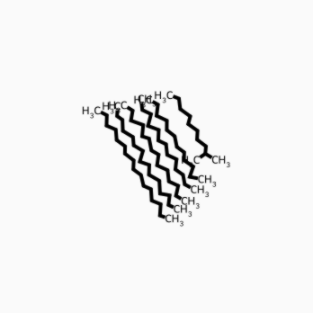 CCCCCCCCC(C)C.CCCCCCCCCCCC.CCCCCCCCCCCCC.CCCCCCCCCCCCCC.CCCCCCCCCCCCCCC.CCCCCCCCCCCCCCCC